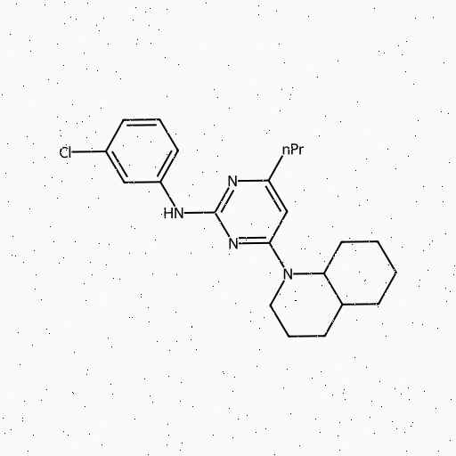 CCCc1cc(N2CCCC3CCCCC32)nc(Nc2cccc(Cl)c2)n1